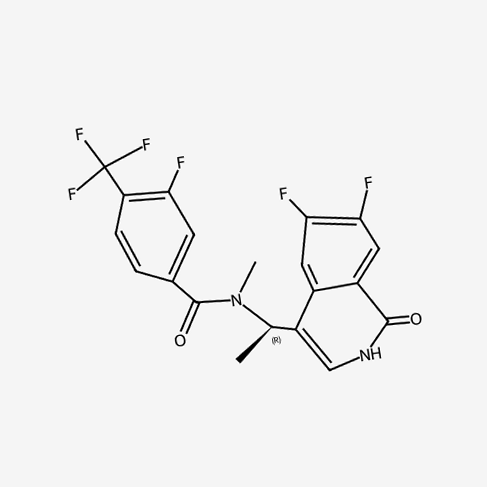 C[C@H](c1c[nH]c(=O)c2cc(F)c(F)cc12)N(C)C(=O)c1ccc(C(F)(F)F)c(F)c1